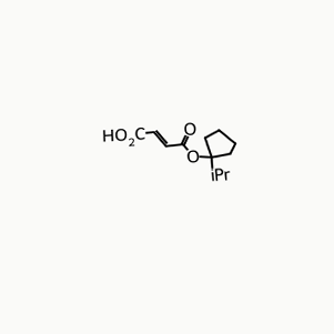 CC(C)C1(OC(=O)C=CC(=O)O)CCCC1